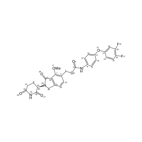 COc1c(COC(=O)Nc2ccc(Oc3ccc(F)c(F)c3)cc2)ccc2c1C(=O)N([C@@H]1CCC(=O)NC1=O)C2